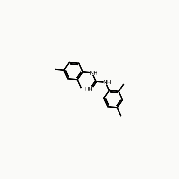 Cc1ccc(NC(=N)Nc2ccc(C)cc2C)c(C)c1